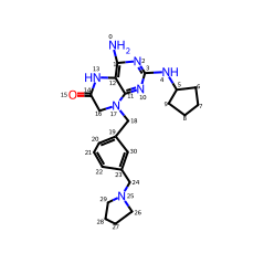 Nc1nc(NC2CCCC2)nc2c1NC(=O)CN2Cc1cccc(CN2CCCC2)c1